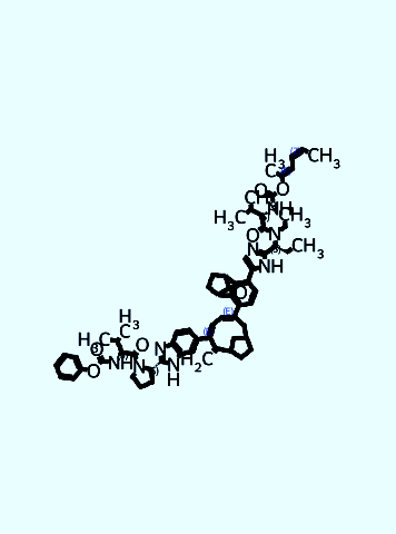 C=C1/C(c2ccc3nc([C@@H]4CCCN4C(=O)[C@@H](NC(=O)Oc4ccccc4)C(C)C)[nH]c3c2)=C\C=C(\c2ccc(-c3cnc([C@H](CC)N(CC)C(=O)[C@@H](NC(=O)O/C(C)=C/C=C\C)C(C)C)[nH]3)c3c2C2CCC3C2=O)CC2CCC1C2